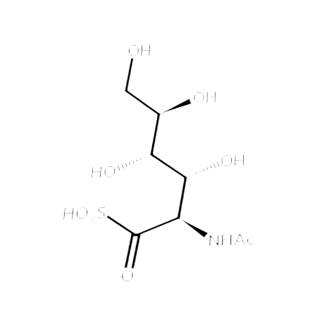 CC(=O)N[C@@H](C(=O)S(=O)(=O)O)[C@@H](O)[C@H](O)[C@H](O)CO